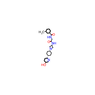 Cc1cccc(C(=O)NCC(=O)NC2CN([C@H]3CC[C@@H](c4ccc(O)cn4)CC3)C2)c1